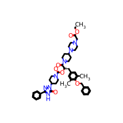 CCOC(=O)CN1CCN(C2CCN(C(=O)[C@@H](Cc3cc(C)c(OCc4ccccc4)c(C)c3)OC(=O)N3CCC(n4nc(-c5ccccc5)[nH]c4=O)CC3)CC2)CC1